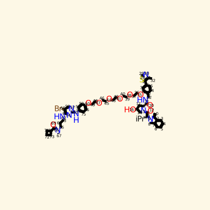 C=C1c2ccccc2CN1[C@H](C(=O)N1C[C@H](O)C[C@H]1C(=O)NCc1ccc(-c2scnc2C)cc1OCCOCCOCCOCCOCCOc1ccc(Nc2ncc(Br)c(NCCCN(C)C(=O)C3CCC3)n2)cc1)C(C)C